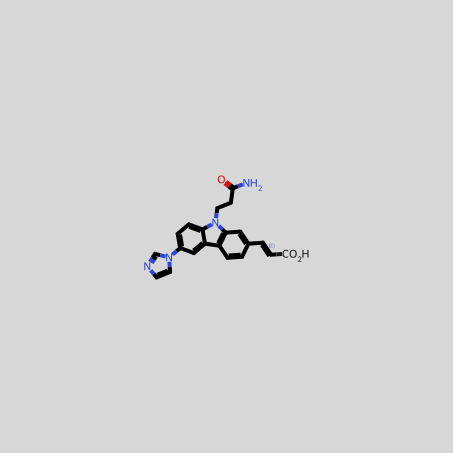 NC(=O)CCn1c2ccc(-n3ccnc3)cc2c2ccc(/C=C/C(=O)O)cc21